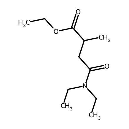 CCOC(=O)C(C)CC(=O)N(CC)CC